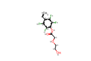 C=Cc1c(F)c(F)c(OC(=O)COCCO)c(F)c1F